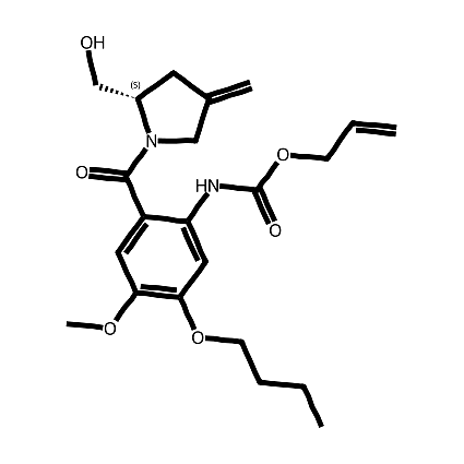 C=CCOC(=O)Nc1cc(OCCCC)c(OC)cc1C(=O)N1CC(=C)C[C@H]1CO